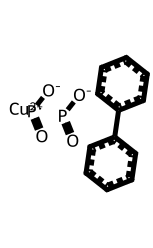 O=P[O-].O=P[O-].[Cu+2].c1ccc(-c2ccccc2)cc1